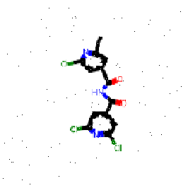 Cc1cc(C(=O)NC(=O)c2cc(Cl)nc(Cl)c2)cc(Cl)n1